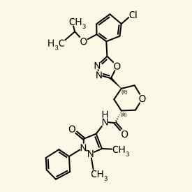 Cc1c(NC(=O)[C@H]2COC[C@H](c3nnc(-c4cc(Cl)ccc4OC(C)C)o3)C2)c(=O)n(-c2ccccc2)n1C